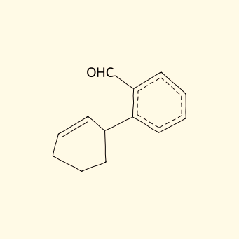 O=Cc1ccccc1C1C=CCCC1